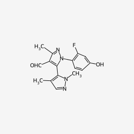 Cc1cnn(C)c1-c1c(C=O)c(C)nn1-c1ccc(O)cc1F